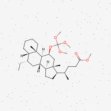 CC[C@H]1C[C@@H]2[C@H]([C@@H](OC(OC)(OC)OC)C[C@]3(C)[C@@H]([C@H](C)CCC(=O)OC)CC[C@@H]23)[C@@]2(C)CCCC[C@@H]12